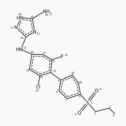 CCCS(=O)(=O)c1ccc(-c2c(F)cc(Nc3n[nH]c(N)n3)cc2Cl)cc1